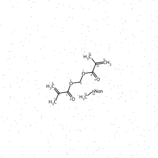 C=C(C)C(=O)OCOC(=O)C(=C)C.CCCCCCCCCC